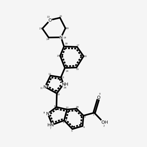 O=C(O)c1ccc2[nH]nc(-c3ncc(-c4cccc(N5CCOCC5)c4)[nH]3)c2c1